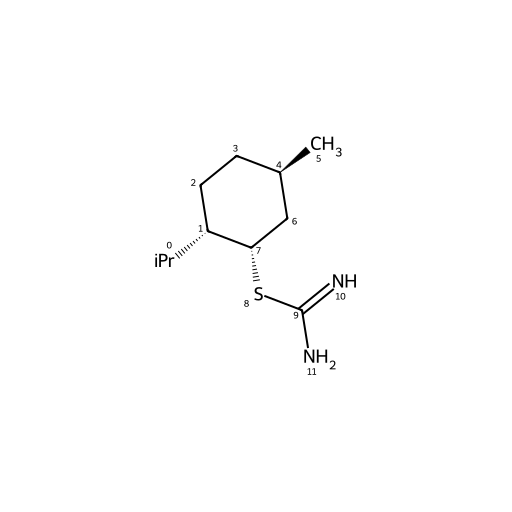 CC(C)[C@@H]1CC[C@@H](C)C[C@@H]1SC(=N)N